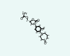 CCCC(=O)OC[C@H]1CN(c2ccc(N3CCC[S+]([O-])CC3)c(F)c2)C(=O)O1